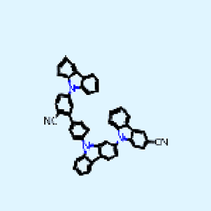 N#Cc1ccc2c(c1)c1ccccc1n2-c1ccc2c3ccccc3n(-c3ccc(-c4cc(-n5c6ccccc6c6ccccc65)ccc4C#N)cc3)c2c1